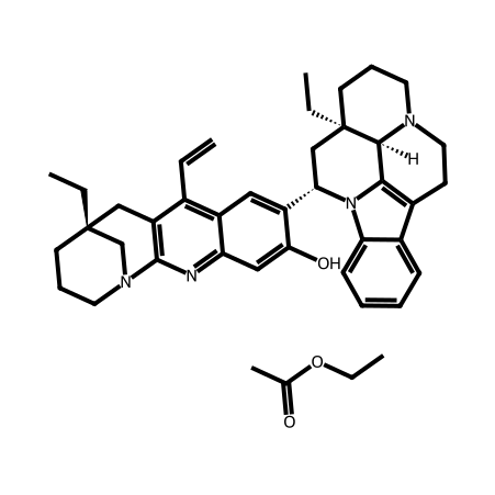 C=Cc1c2c(nc3cc(O)c([C@@H]4C[C@@]5(CC)CCCN6CCc7c(n4c4ccccc74)[C@H]65)cc13)N1CCC[C@](CC)(C2)C1.CCOC(C)=O